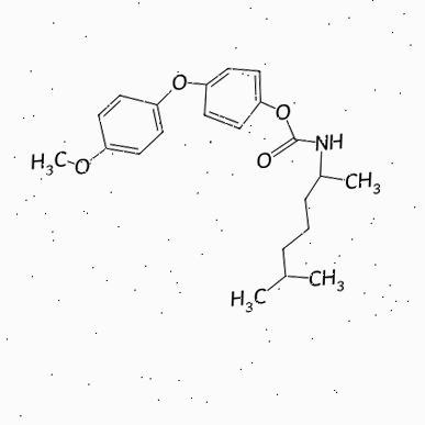 COc1ccc(Oc2ccc(OC(=O)NC(C)CCCC(C)C)cc2)cc1